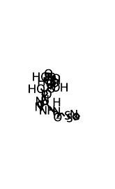 Nc1ncnc2c1c(C#CCNC(=O)CCSSc1ccccn1)cn2C1CC(O)C(COP(=O)(O)OP(=O)(O)OP(=O)(O)O)O1